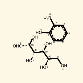 O=C[C@H](O)[C@@H](O)[C@@H](O)[C@H](O)CO.O=[N+]([O-])c1ccccc1O